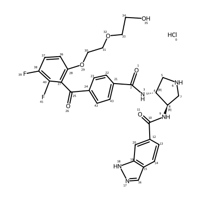 Cl.O=C(N[C@@H]1CNC[C@H]1NC(=O)c1ccc2cn[nH]c2c1)c1ccc(C(=O)c2c(OCCOCCO)ccc(F)c2F)cc1